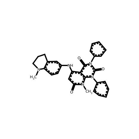 CN1CCCc2cc(Nc3cc(=O)n(C)c4c3c(=O)n(-c3ccccc3)c(=O)n4-c3ccccc3)ccc21